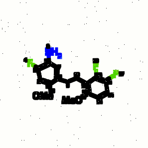 COc1cc(F)c(N)cc1CCc1c(OC)ccc(F)c1F